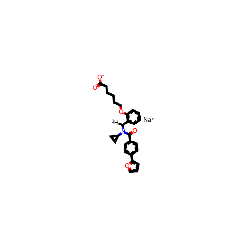 [2H]C(c1ccccc1OCCCCCC(=O)[O-])N(C(=O)c1ccc(-c2ccco2)cc1)C1CC1.[Na+]